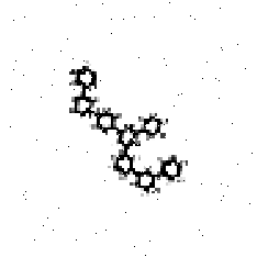 c1ccc(-c2cccc(-c3ccc(-c4cc(-c5cccc(-c6cccc(-c7ccccc7)c6)c5)nc(-c5ccccc5)n4)cc3)c2)cc#1